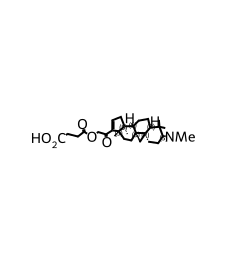 CN[C@H]1CC[C@]23C[C@]24CC[C@]2(C)C(C(=O)COC(=O)CCC(=O)O)=CC[C@@]2(C)[C@@H]4CC[C@H]3C1(C)C